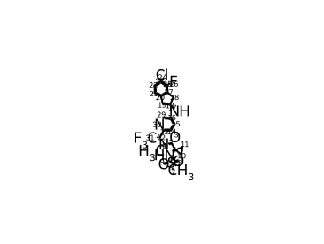 CN(C(=O)C1(NS(C)(=O)=O)CC1)[C@@H](c1ccc(NC2Cc3ccc(Cl)c(F)c3C2)cn1)C(F)(F)F